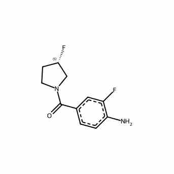 Nc1ccc(C(=O)N2CC[C@H](F)C2)cc1F